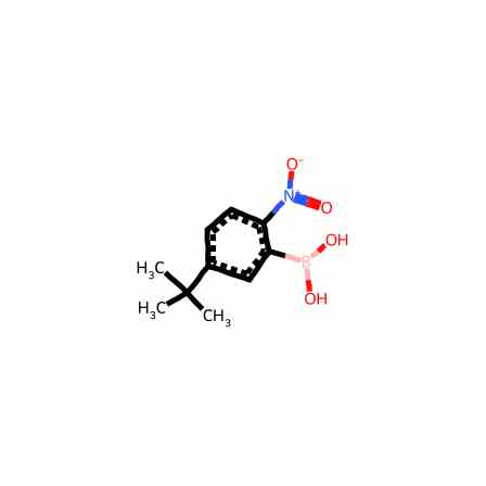 CC(C)(C)c1ccc([N+](=O)[O-])c(B(O)O)c1